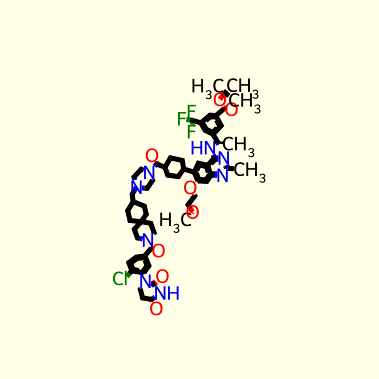 COCCOc1cc2nc(C)nc(N[C@H](C)c3cc(C(=O)OC(C)(C)C)cc(C(F)(F)F)c3)c2cc1C1CCC(C(=O)N2CCN(CC3CCC4(CC3)CCN(C(=O)c3ccc(Cl)c(N5CCC(=O)NC5=O)c3)CC4)CC2)CC1